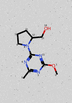 COc1nc(C)nc(N2CCCC2CO)n1